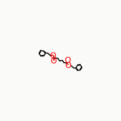 O=C(CCCCC(=O)OCCc1ccccc1)OCCc1ccccc1